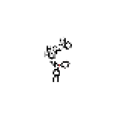 COc1ccccc1OCC(O)CNC(C)(C)CN(C)CC(c1ccccc1)c1ccc(Cl)cc1